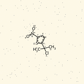 CC(C)(Cl)c1ccc([N+](=O)[O-])s1